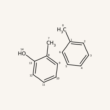 Cc1ccccc1.Cc1ccccc1O